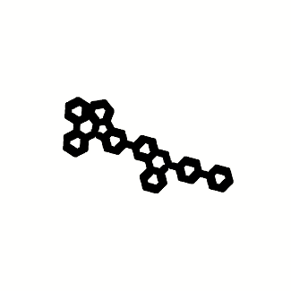 c1ccc(-c2ccc(N3Cc4ccc(-c5ccc6c(c5)c5ccccc5n6-c5ccccc5-c5ccccc5)cc4-c4ccccc43)cc2)cc1